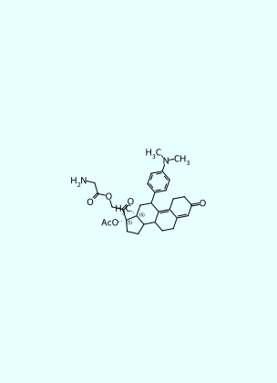 CC(=O)O[C@@]1(C(=O)COC(=O)CN)CCC2C3CCC4=CC(=O)CCC4=C3C(c3ccc(N(C)C)cc3)C[C@@]21C